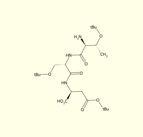 C[C@@H](OC(C)(C)C)[C@H](N)C(=O)N[C@@H](COC(C)(C)C)C(=O)N[C@@H](CC(=O)OC(C)(C)C)C(=O)O